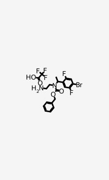 CC(c1cc(F)c(Br)cc1F)N(CCN)C(=O)OCc1ccccc1.O=C(O)C(F)(F)F